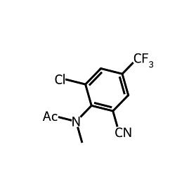 CC(=O)N(C)c1c(Cl)cc(C(F)(F)F)cc1C#N